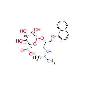 CC(C)NCC(COc1cccc2ccccc12)OC1O[C@H](C(=O)O)[C@@H](O)[C@H](O)[C@H]1O